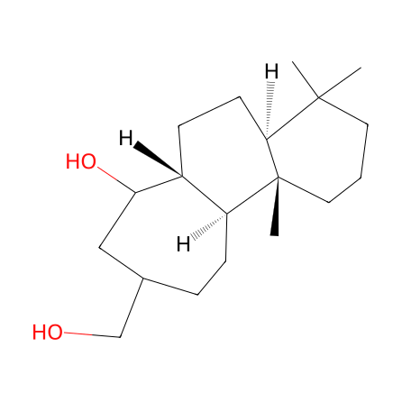 CC1(C)CCC[C@]2(C)[C@H]3CCC(CO)CC(O)[C@@H]3CC[C@@H]12